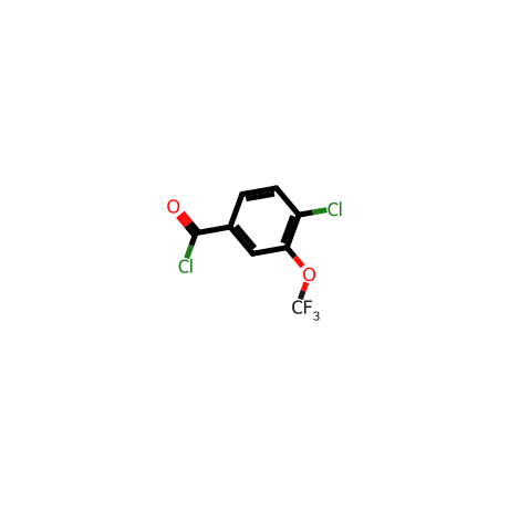 O=C(Cl)c1ccc(Cl)c(OC(F)(F)F)c1